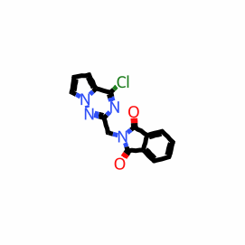 O=C1c2ccccc2C(=O)N1Cc1nc(Cl)c2cccn2n1